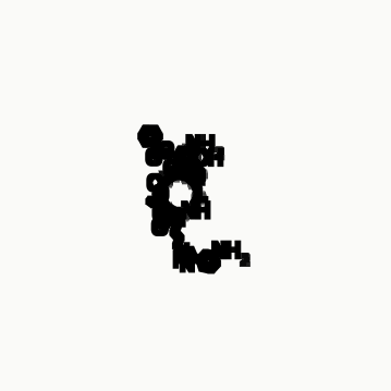 CC[C@H]1OC(=O)[C@H](C)C(=O)[C@@H](C)[C@H](OC2O[C@H](COC(=O)c3ccccc3)C[C@H](N)[C@H]2O)[C@](C)(OC)C[C@@H](C)CN[C@H](C)[C@H]2N(CCCCn3cc(-c4cccc(N)c4)nn3)C(=O)O[C@]12C